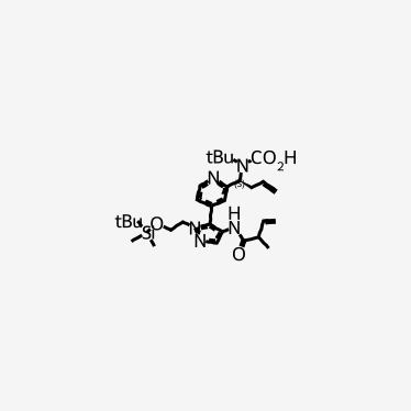 C=CC[C@@H](c1cc(-c2c(NC(=O)C(C)C=C)cnn2CCO[Si](C)(C)C(C)(C)C)ccn1)N(C(=O)O)C(C)(C)C